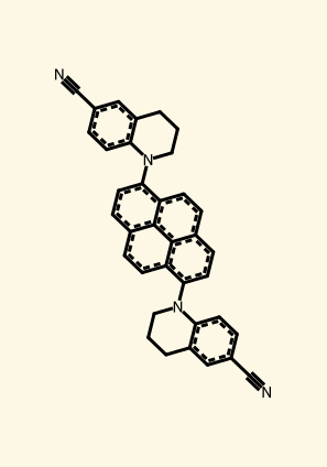 N#Cc1ccc2c(c1)CCCN2c1ccc2ccc3c(N4CCCc5cc(C#N)ccc54)ccc4ccc1c2c43